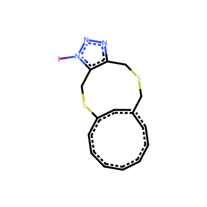 In1nnc2c1CSc1cccccccc(c1)CSC2